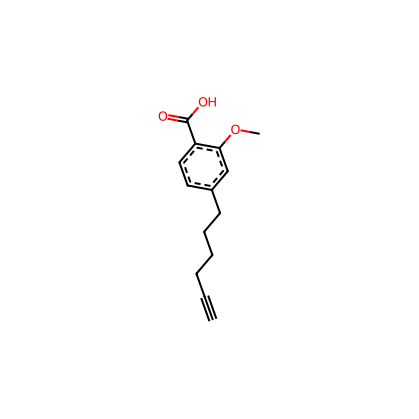 C#CCCCCc1ccc(C(=O)O)c(OC)c1